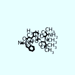 CC[C@H](C)[C@@H]([C@@H](CC(=O)N1CCCC1[C@H](OC)[C@@H](C)C(=O)N[C@H](C#N)Cc1ccccc1)OC)N(C)C(=O)C(N)C(C)C